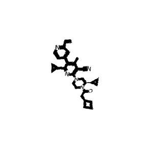 C=Cc1cc(-c2c(C3CC3)nc(N3CCN(C(=O)CC4CCC4)[C@H](C4CC4)C3)c(C#N)c2C)ccn1